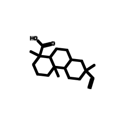 C=CC1(C)CCC2C(CCC3C(C)(C(=O)O)CCCC23C)C1